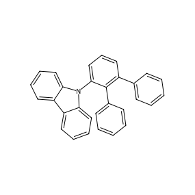 c1ccc(-c2cccc(-n3c4ccccc4c4ccccc43)c2-c2ccccc2)cc1